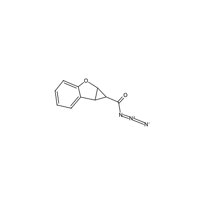 [N-]=[N+]=NC(=O)C1C2Oc3ccccc3C21